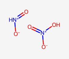 O=[N+]([O-])O.O=[NH+][O-]